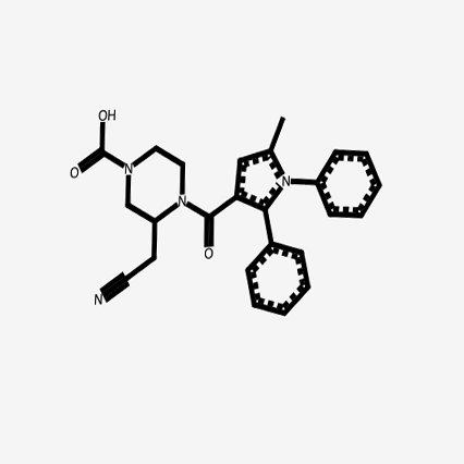 Cc1cc(C(=O)N2CCN(C(=O)O)CC2CC#N)c(-c2ccccc2)n1-c1ccccc1